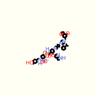 COc1cc(CN2CCN(C3CC4(C3)CN(c3ccc(C(=O)NS(=O)(=O)c5ccc(NCC6CCC(C)(O)CC6)c([N+](=O)[O-])c5)c(Oc5cnc6[nH]ccc6c5)c3)C4)[C@H](c3ccccc3C(C)C)C2)cc2occc12